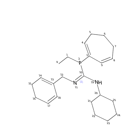 CCP(C1=CCCCC=C1)/C(=N\CC1=CCCC=C1)NC1CCCCC1